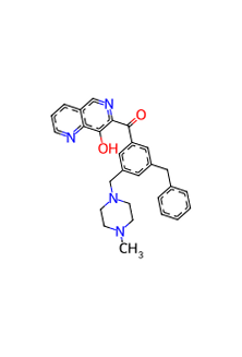 CN1CCN(Cc2cc(Cc3ccccc3)cc(C(=O)c3ncc4cccnc4c3O)c2)CC1